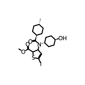 COC(=O)C1SC(I)=CC1N(C(=O)[C@H]1CC[C@H](C)CC1)[C@H]1CC[C@H](O)CC1